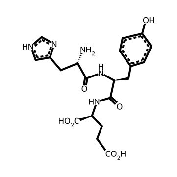 N[C@@H](Cc1c[nH]cn1)C(=O)N[C@@H](Cc1ccc(O)cc1)C(=O)N[C@@H](CCC(=O)O)C(=O)O